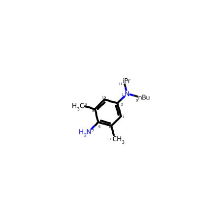 CCCCN(c1cc(C)c(N)c(C)c1)C(C)C